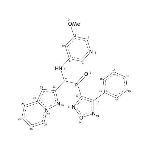 COc1cncc(NC(C(=O)c2nonc2-c2ccccc2)c2cc3ccccn3n2)c1